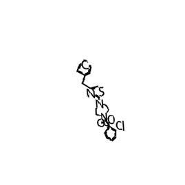 O=S(=O)(c1ccccc1Cl)N1CCN(c2nc(Cc3ccccc3)cs2)CC1